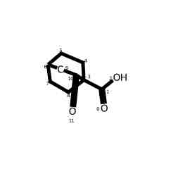 O=C(O)C12CCC(CC1)CC2=O